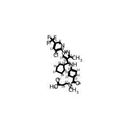 Cc1nn(-c2ncc(C(F)(F)F)cc2Cl)cc1C(Nc1ccc(C(=O)N(C)CCC(=O)O)cc1)C1CCCCC1